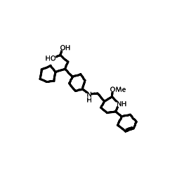 COC1NC(C2CC=CCC2)CCC1CNC1CCC(C(CC(O)O)C2CCCCC2)CC1